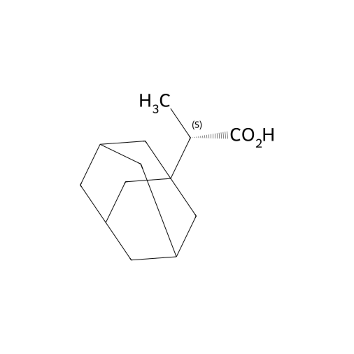 C[C@H](C(=O)O)C12CC3CC(CC(C3)C1)C2